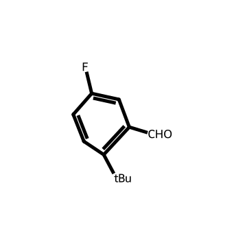 CC(C)(C)c1ccc(F)cc1C=O